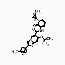 CC(C)Oc1cc2nc(C34COC(C)(C3)C4)cn2cc1C(=O)Nc1cccn([C@@H]2C[C@@H]2C)c1=O